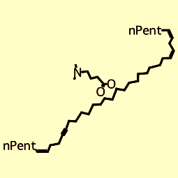 CCCCC/C=C\C/C=C\CCCCCCCCC(CCCCCCCCC#CCC/C=C\CCCCC)OC(=O)CCCN(C)C